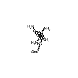 CCCCCCCCCCCCCCCCNCCCC(C)[C@H]1CC[C@H]2C3[C@H](OCCCN)CC4C[C@H](OCCCN)CCC4(C)[C@H]3C[C@H](OCCCN)C12C